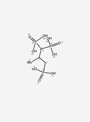 CC(C)(C)C(CP(=O)(O)O)N(P(=O)(O)O)P(=O)(O)O